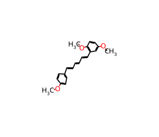 COc1ccc(C=CC=CC=Cc2cc(OC)ccc2OC)cc1